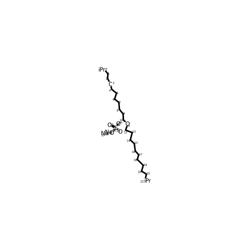 CC(C)CCCCCCCCCCOCCCCCCCCCCC(C)C.O=S(=O)([O-])[O-].[Na+].[Na+]